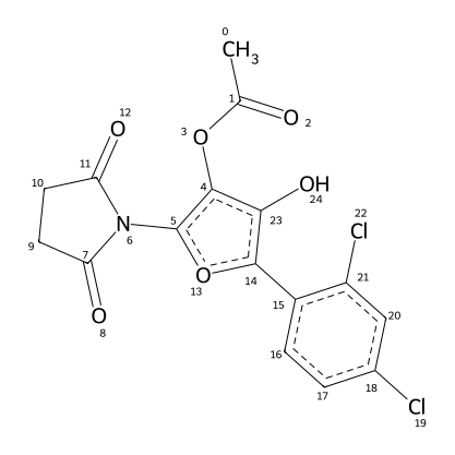 CC(=O)Oc1c(N2C(=O)CCC2=O)oc(-c2ccc(Cl)cc2Cl)c1O